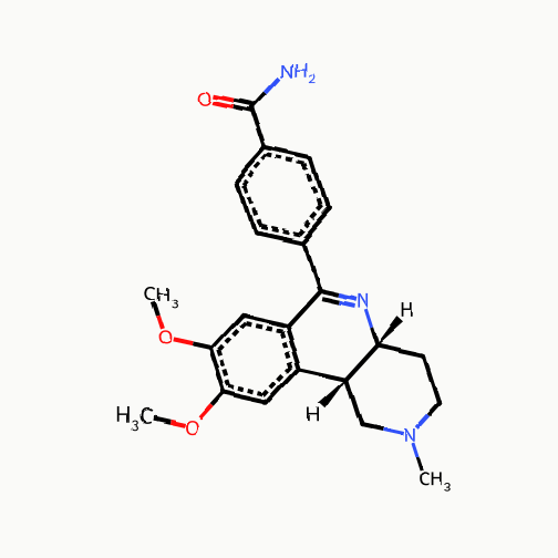 COc1cc2c(cc1OC)[C@H]1CN(C)CC[C@H]1N=C2c1ccc(C(N)=O)cc1